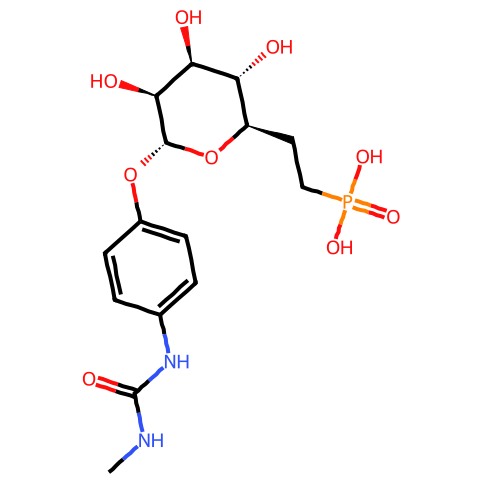 CNC(=O)Nc1ccc(O[C@H]2O[C@H](CCP(=O)(O)O)[C@@H](O)[C@H](O)[C@@H]2O)cc1